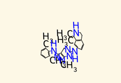 Cc1cccc(C)c1Nc1nn(C)c2nc(Nc3ccc4c(c3)C(C)(C)NCC4)ncc12